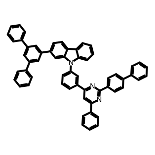 c1ccc(-c2ccc(-c3nc(-c4ccccc4)cc(-c4cccc(-n5c6ccccc6c6ccc(-c7cc(-c8ccccc8)cc(-c8ccccc8)c7)cc65)c4)n3)cc2)cc1